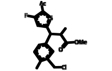 COC(=O)C(C)C(c1ccc(C)c(CCl)c1)c1cc(F)c(C(C)=O)s1